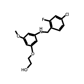 COc1cc(NCc2ccc(Cl)cc2F)cc(OCCO)c1